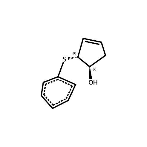 O[C@@H]1CC=C[C@H]1Sc1ccccc1